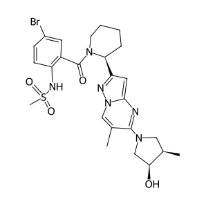 Cc1cn2nc([C@@H]3CCCCN3C(=O)c3cc(Br)ccc3NS(C)(=O)=O)cc2nc1N1C[C@@H](C)[C@@H](O)C1